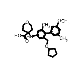 COc1cc(C)cc(-c2c(C)cc(NC3(C(=O)O)CCOCC3)cc2COC2CCCC2)c1